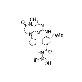 COc1cc(C(=O)N[C@@H](CO)C(C)C)ccc1Nc1ncc2c(n1)N(C1CCCC1)CCC(=O)N2C